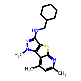 Cc1cc(C)c2c(n1)sc1c(NCC3CCCCC3)nn(C)c12